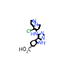 O=C(O)[C@H]1CCc2c([nH]c3ncnc(Nc4ccn5nccc5c4Cl)c23)C1